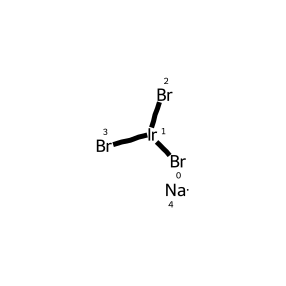 [Br][Ir]([Br])[Br].[Na]